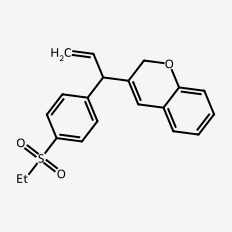 C=CC(C1=Cc2ccccc2OC1)c1ccc(S(=O)(=O)CC)cc1